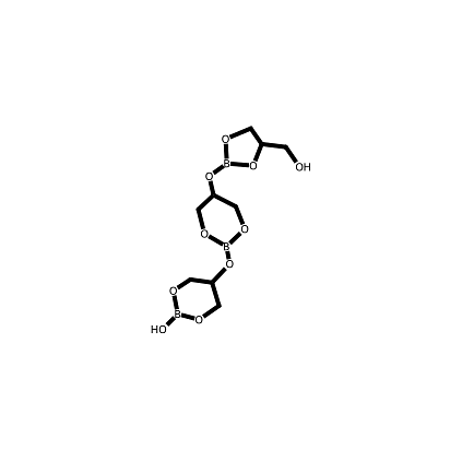 OCC1COB(OC2COB(OC3COB(O)OC3)OC2)O1